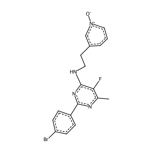 Cc1nc(-c2ccc(Br)cc2)nc(NCCc2ccc[n+]([O-])c2)c1F